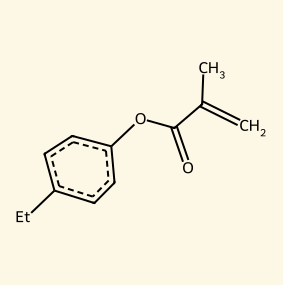 [CH2]Cc1ccc(OC(=O)C(=C)C)cc1